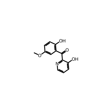 COc1ccc(O)c(C(=O)c2ncccc2O)c1